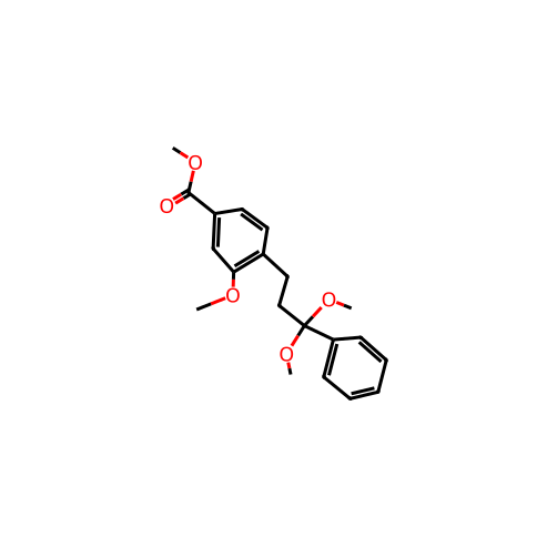 COC(=O)c1ccc(CCC(OC)(OC)c2ccccc2)c(OC)c1